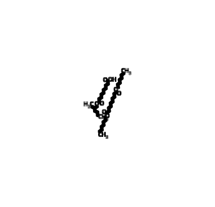 CCCCC(CC)COC(=O)CCCCCCCCC(=O)O.CCCCCCCCOC(=O)CCCCCCCCC(=O)OCCCCCCCC